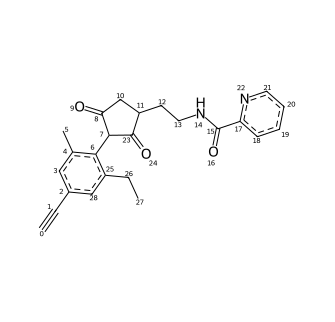 C#Cc1cc(C)c(C2C(=O)CC(CCNC(=O)c3ccccn3)C2=O)c(CC)c1